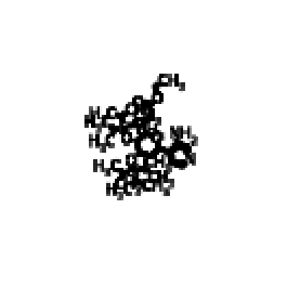 CCOC(=O)CC[C@H]1OC(c2ccncc2N)C[C@@H](O[Si](C(C)C)(C(C)C)C(C)C)[C@@H]1O[Si](C(C)C)(C(C)C)C(C)C